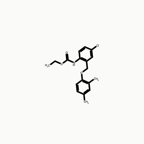 CCOC(=O)Nc1ccc(Cl)cc1COc1ccc(C)cc1C